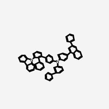 c1ccc(-c2cccc(N(c3ccc(-c4cccc(-n5c6ccccc6c6ccccc65)c4-c4ccccc4)cc3)c3ccc(-c4cc(-c5ccccc5)cc5ccccc45)cc3)c2)cc1